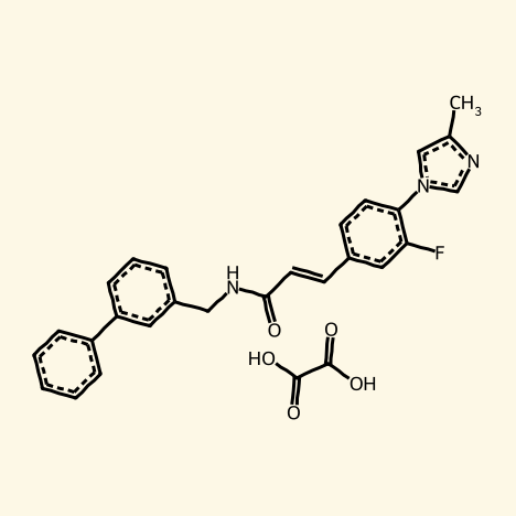 Cc1cn(-c2ccc(C=CC(=O)NCc3cccc(-c4ccccc4)c3)cc2F)cn1.O=C(O)C(=O)O